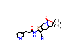 CC1(C)CC2Cc3c(sc(NC(=O)CCc4cccnc4)c3C#N)CN2C(=O)O1